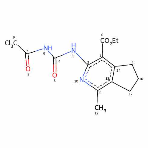 CCOC(=O)c1c(NC(=O)NC(=O)C(Cl)(Cl)Cl)nc(C)c2c1CCC2